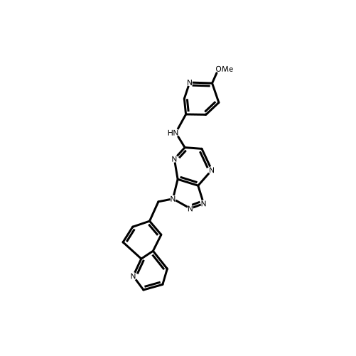 COc1ccc(Nc2cnc3nnn(Cc4ccc5ncccc5c4)c3n2)cn1